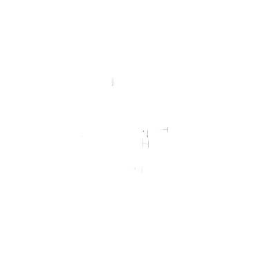 O=CNCC1c2cc(Cl)ccc2Oc2ccccc2C1CO